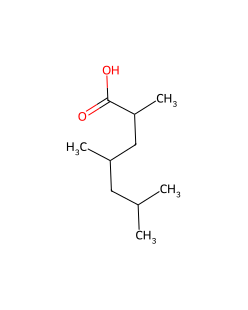 CC(C)CC(C)CC(C)C(=O)O